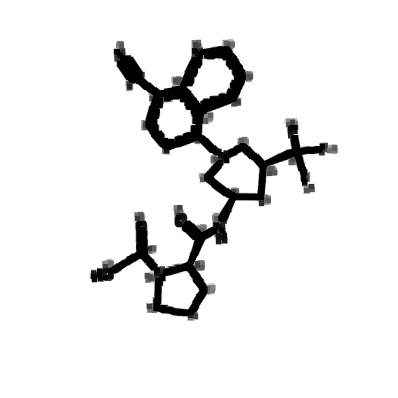 N#Cc1ccc(N2C[C@H](NC(=O)[C@H]3CCCN3C(=O)O)C[C@H](C(F)(F)F)C2)c2cccnc12